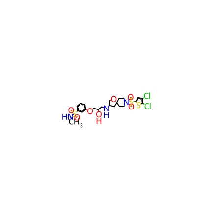 CNS(=O)(=O)c1cccc(OCC(O)CNC2COC3(CCN(S(=O)(=O)c4cc(Cl)c(Cl)s4)CC3)C2)c1